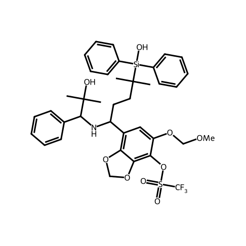 COCOc1cc(C(CCC(C)(C)[Si](O)(c2ccccc2)c2ccccc2)NC(c2ccccc2)C(C)(C)O)c2c(c1OS(=O)(=O)C(F)(F)F)OCO2